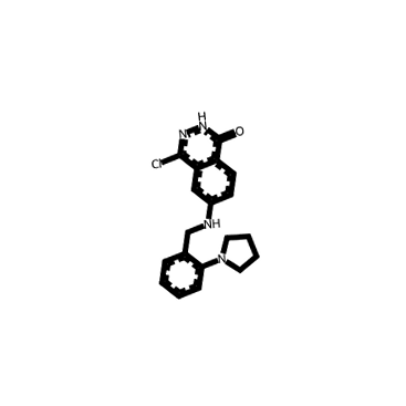 O=c1[nH]nc(Cl)c2cc(NCc3ccccc3N3CCCC3)ccc12